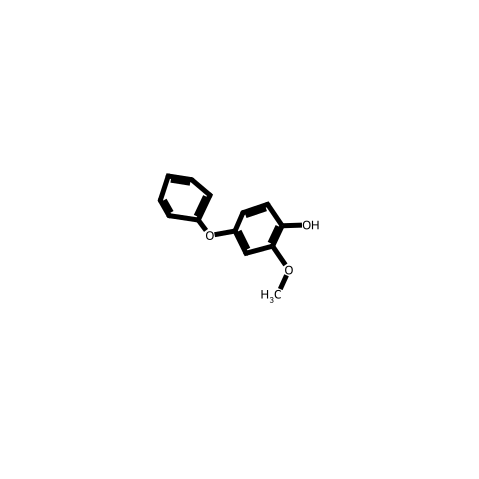 COc1cc(Oc2ccccc2)ccc1O